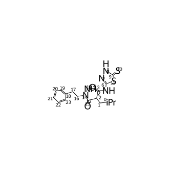 CC(C)CC(C(=O)Nc1n[nH]c(=S)s1)C(=O)N(N)CCc1ccccc1